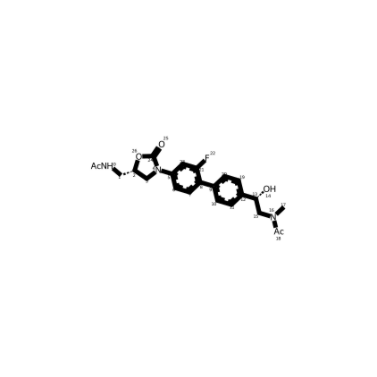 CC(=O)NC[C@H]1CN(c2ccc(-c3ccc([C@H](O)CN(C)C(C)=O)cc3)c(F)c2)C(=O)O1